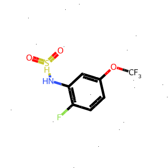 O=[SH](=O)Nc1cc(OC(F)(F)F)ccc1F